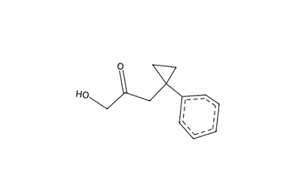 O=C(CO)CC1(c2ccccc2)CC1